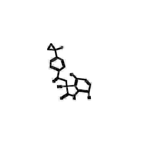 O=C(CC1(O)C(=O)Nc2c(Cl)ccc(Cl)c21)c1ccc(C2(F)CC2)cc1